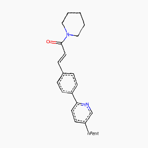 CCCCCc1ccc(-c2ccc(/C=C/C(=O)N3CCCCC3)cc2)nc1